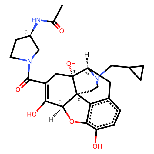 CC(=O)N[C@@H]1CCN(C(=O)C2=C(O)[C@@H]3Oc4c(O)ccc5c4[C@@]34CCN(CC3CC3)[C@H](C5)[C@]4(O)C2)C1